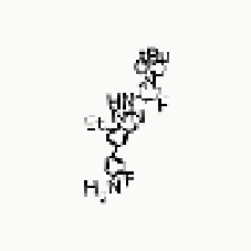 CCc1cc(-c2ccc(N)c(F)c2)cc2cnc(NC3CC(F)CN(C(=O)OC(C)(C)C)C3)nc12